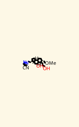 COCC[C@H]1CC[C@@H]2[C@H]([C@H](O)C[C@]3(C)[C@@H](CCn4cc(C#N)cn4)CC[C@@]23C)[C@@]1(C)CCCO